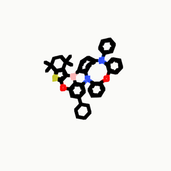 CC1(C)CCC(C)(C)c2c1sc1c2B2c3ccc4cc3N(c3ccccc3Oc3ccccc3N4c3ccccc3)c3cc(C4CCCCC4)cc(c32)O1